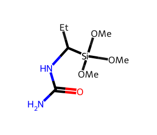 CCC(NC(N)=O)[Si](OC)(OC)OC